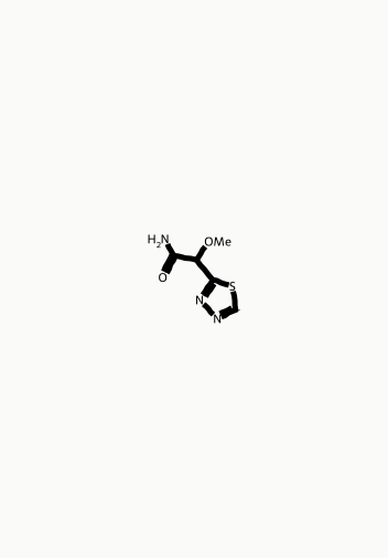 COC(C(N)=O)c1nn[c]s1